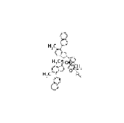 Cc1ccc(C2=Cc3c(ccc(C)c3-c3ccc4ccccc4c3)C2[Si](C)(C)C2C(c3ccc(C)o3)=Cc3c2ccc(C)c3-c2ccc3ccccc3c2)o1